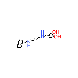 Oc1ccc(CCNCCCCCCNCCc2cccc3ccccc23)cc1O